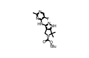 Cc1ncc(F)c(Nc2n[nH]c3c2CN(C(=O)OC(C)(C)C)C3(C)C)n1